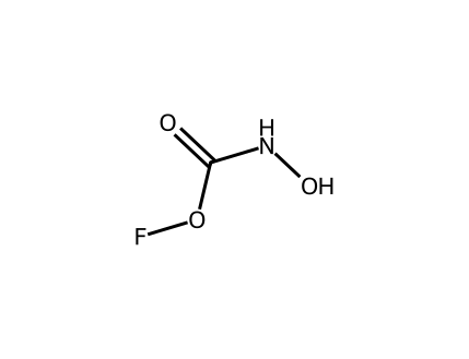 O=C(NO)OF